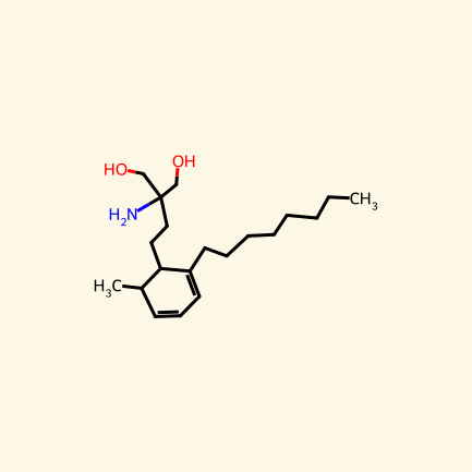 CCCCCCCCC1=CC=CC(C)C1CCC(N)(CO)CO